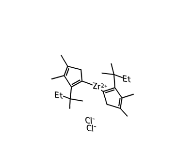 CCC(C)(C)C1=[C]([Zr+2][C]2=C(C(C)(C)CC)C(C)=C(C)C2)CC(C)=C1C.[Cl-].[Cl-]